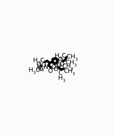 COC(=O)OC(C)CC(c1ccc(OC(=O)C(C)C(C)C)c(OC(=O)C(C)C(C)C)c1)[C@H](N)C(=O)O